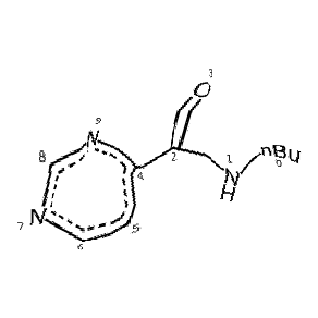 CCCCNC(=O)c1ccncn1